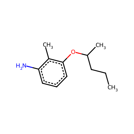 CCCC(C)Oc1cccc(N)c1C